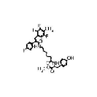 COC(=O)C(Cc1ccc(O)cc1)NC(=O)CCCCCNC(=O)/C(=C\c1c(F)c(F)c(C)c(F)c1F)c1ccc(F)cc1